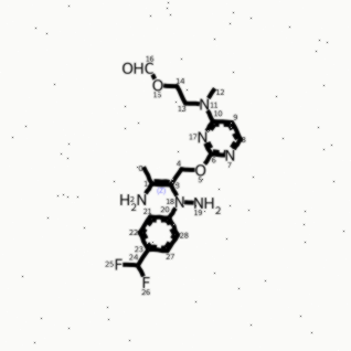 C/C(N)=C(\COc1nccc(N(C)CCOC=O)n1)N(N)c1ccc(C(F)F)cc1